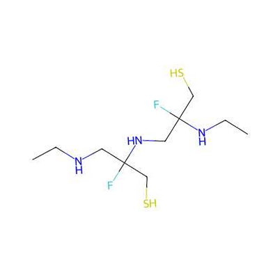 CCNCC(F)(CS)NCC(F)(CS)NCC